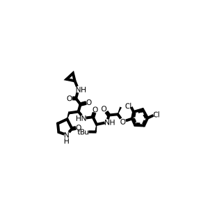 C[C@@H](Oc1ccc(Cl)cc1Cl)C(=O)N[C@@H](CC(C)(C)C)C(=O)NC(C[C@@H]1CCNC1=O)C(=O)C(=O)NC1CC1